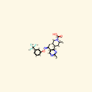 C/C(=N/Oc1cccc(C(F)(F)F)c1)c1cnc(C)nc1C1CCN(C(=O)O)C(C)C1